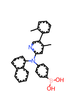 Cc1ccccc1-c1cnc(N(c2ccc(B(O)O)cc2)c2cccc3ccccc23)cc1C